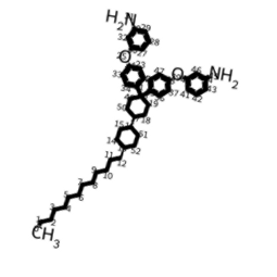 CCCCCCCCCCCCC[C@H]1CC[C@@H](C2CCC(c3ccc(Oc4cccc(N)c4)cc3)(c3ccc(Oc4cccc(N)c4)cc3)CC2)CC1